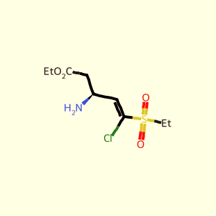 CCOC(=O)C[C@H](N)/C=C(\Cl)S(=O)(=O)CC